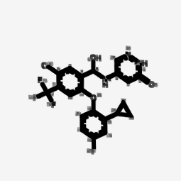 O=c1cc(NC(O)c2cc(Cl)c(C(F)(F)F)cc2Oc2ccc(F)cc2C2CC2)cn[nH]1